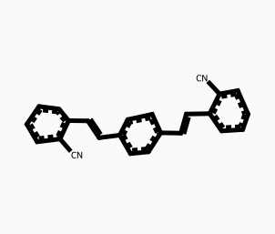 [C-]#[N+]c1ccccc1C=Cc1ccc(C=Cc2ccccc2C#N)cc1